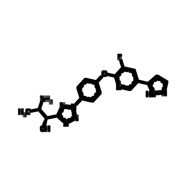 CC(N)[C@H](O)c1nnn(-c2ccc(Oc3ncc(-c4ccn[nH]4)cc3F)cc2)n1